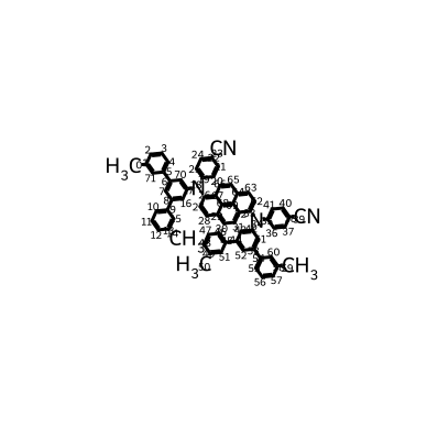 Cc1cccc(-c2cc(-c3cccc(C)c3)cc(N(c3ccc(C#N)cc3)c3ccc4ccc5c(N(c6ccc(C#N)cc6)c6cc(-c7cccc(C)c7)cc(-c7cccc(C)c7)c6)ccc6ccc3c4c65)c2)c1